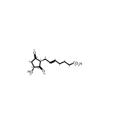 O=C(O)CCCC=CC[C@@H]1C(=O)C[C@H](O)C1=O